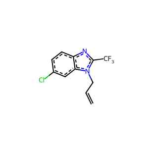 C=CCn1c(C(F)(F)F)nc2ccc(Cl)cc21